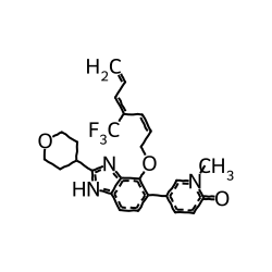 C=C/C=C(\C=C/COc1c(-c2ccc(=O)n(C)c2)ccc2[nH]c(C3CCOCC3)nc12)C(F)(F)F